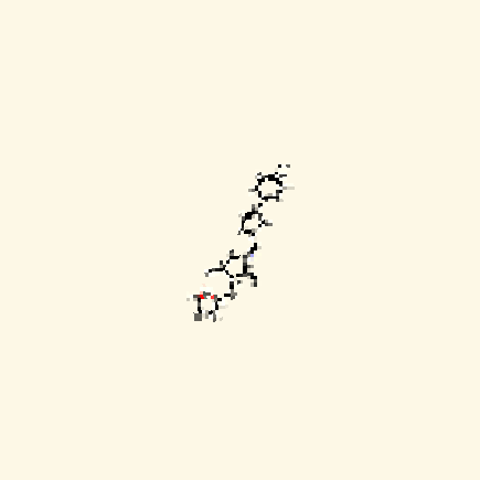 C=C1C/C(=C\C2=CC=C(c3ccc(C)cc3)C2)C(=C)C1Cc1ccco1